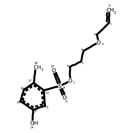 C=CCOCCCOS(=O)(=O)c1cc(O)ccc1C